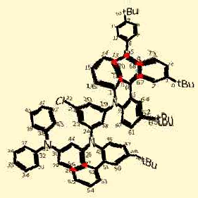 CC(C)(C)c1ccc(N(c2ccc(C(C)(C)C)cc2)c2cccc(N(c3cc(Cl)cc(N(c4cccc(N(c5ccccc5)c5ccccc5)c4)c4ccc(C(C)(C)C)cc4-c4ccccc4)c3)c3ccc(C(C)(C)C)cc3-c3ccccc3)c2)cc1